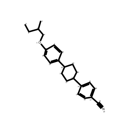 CCC(C)COc1ccc(C2CCC(c3ccc(C#N)cc3)CC2)cc1